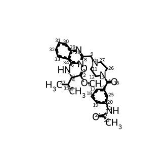 COC(=O)[C@@H](Nc1nc(CN2CCN(C(=O)c3cccc(NC(C)=O)c3)CC2)nc2ccccc12)C(C)C